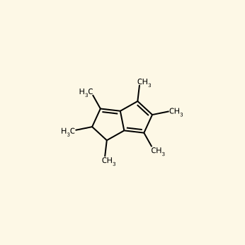 CC1=C(C)C2=C(C)C(C)C(C)C2=C1C